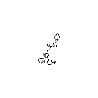 O=C(CCc1cc(-c2cccc(F)c2)n(-c2ccccn2)n1)NCCN1CCOCC1